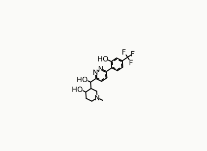 CN1CCC(O)C(C(O)c2ccc(-c3ccc(C(F)(F)F)cc3O)nn2)C1